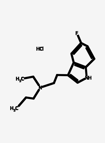 CCCN(CC)CCc1c[nH]c2ccc(F)cc12.Cl